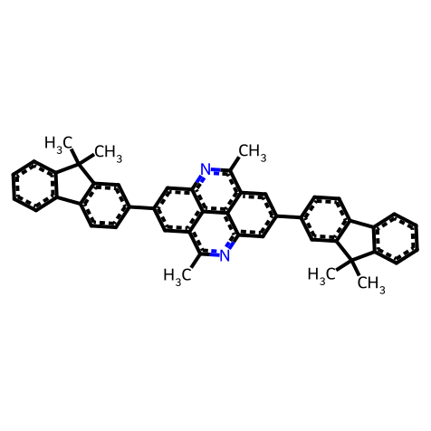 Cc1nc2cc(-c3ccc4c(c3)C(C)(C)c3ccccc3-4)cc3c(C)nc4cc(-c5ccc6c(c5)C(C)(C)c5ccccc5-6)cc1c4c23